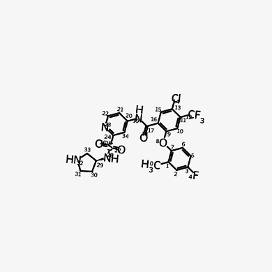 Cc1cc(F)ccc1Oc1cc(C(F)(F)F)c(Cl)cc1C(=O)Nc1ccnc(S(=O)(=O)N[C@H]2CCNC2)c1